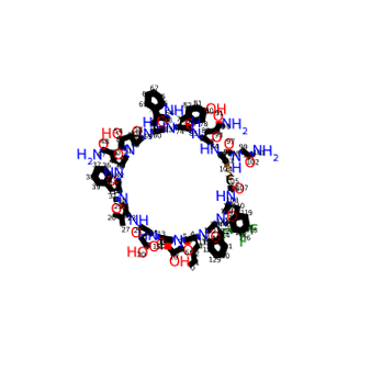 CCCC[C@H]1C(=O)N2C[C@H](O)C[C@@H]2C(=O)N[C@@H](CC(=O)O)C(=O)N[C@@H](C(C)C)C(=O)N(C)[C@@H](Cc2ccccc2)C(=O)N[C@@H](CCC(N)=O)C(=O)N2C[C@H](O)C[C@H]2C(=O)N[C@@H](Cc2c[nH]c3ccccc23)C(=O)N[C@@H](Cc2ccc(O)cc2)C(=O)N[C@@H](CCC(N)=O)C(=O)N[C@H](C(=O)NCC(N)=O)CSCC(=O)N[C@@H](Cc2cc(F)c(F)c(F)c2)C(=O)N(C)[C@@H](Cc2ccccc2)C(=O)N1C